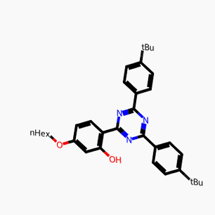 CCCCCCOc1ccc(-c2nc(-c3ccc(C(C)(C)C)cc3)nc(-c3ccc(C(C)(C)C)cc3)n2)c(O)c1